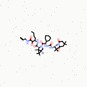 C=CCNC(=O)C(=O)C(CCCC)NC(=O)[C@@H]1[C@@H]2[C@H](CN1C(=O)[C@@H](NC(=O)N[C@H](CN1C(=O)CC(C)(C)CC1=O)C(C)(C)C)C1CCCCC1)C2(C)C